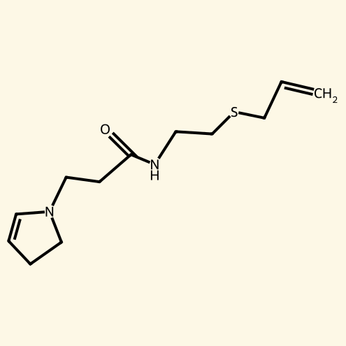 C=CCSCCNC(=O)CCN1C=CCC1